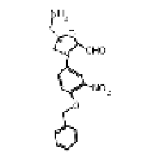 NC[C@H]1CN(c2ccc(OCc3ccccc3)c([N+](=O)[O-])c2)C(C=O)O1